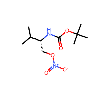 CC(C)[C@@H](CO[N+](=O)[O-])NC(=O)OC(C)(C)C